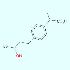 CCC(O)CCc1ccc(C(C)C(=O)O)cc1